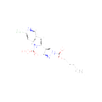 CCCCOC(=O)n1cc(-c2cc3cnc(Br)cc3n2C(=O)O)cn1